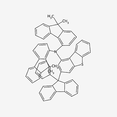 CC1(C)c2ccccc2-c2c(N(c3cccc4c3C(C)(C)c3ccccc3-4)c3cc(C4(c5ccccc5)c5ccccc5-c5ccccc54)cc4sc5ccccc5c34)cccc21